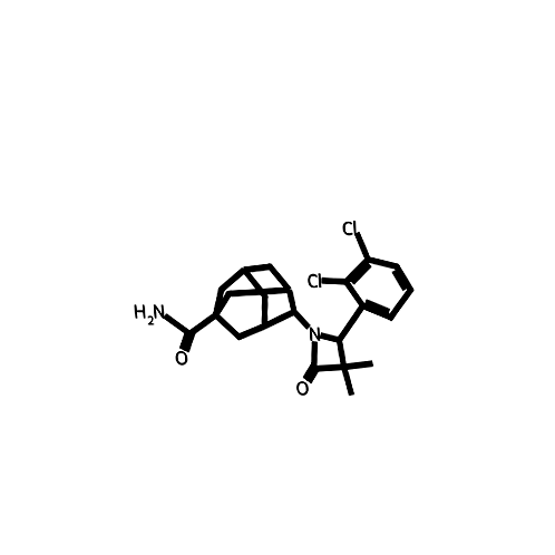 CC1(C)C(=O)N(C2C3CC4CC2CC(C(N)=O)(C4)C3)C1c1cccc(Cl)c1Cl